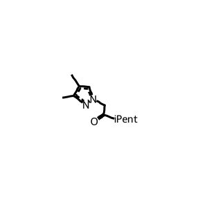 CCCC(C)C(=O)Cn1cc(C)c(C)n1